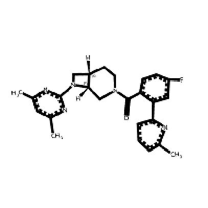 Cc1cccc(-c2cc(F)ccc2C(=O)N2CC[C@H]3CN(c4nc(C)cc(C)n4)[C@H]3C2)n1